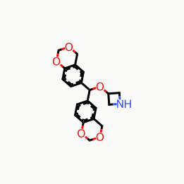 c1cc2c(cc1C(OC1CNC1)c1ccc3c(c1)COCO3)COCO2